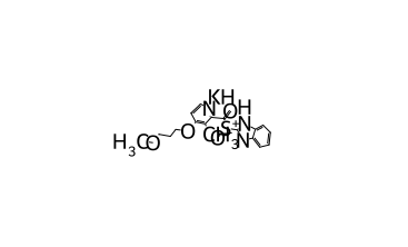 COCCCOc1ccnc(C(=O)[S+]([O-])c2nc3ccccc3[nH]2)c1C.[KH]